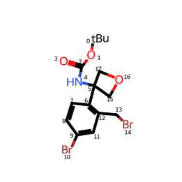 CC(C)(C)OC(=O)NC1(c2ccc(Br)cc2CBr)COC1